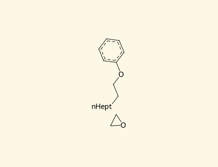 C1CO1.CCCCCCCCCOc1ccccc1